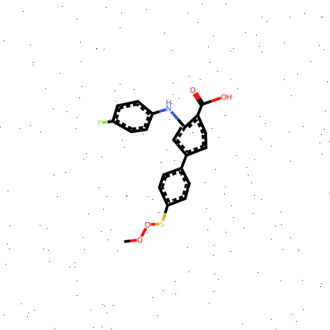 COOSc1ccc(-c2ccc(C(=O)O)c(Nc3ccc(F)cc3)c2)cc1